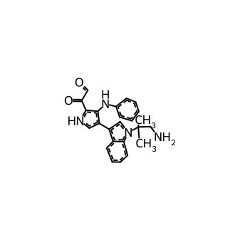 CC(C)(CN)n1cc(-c2c[nH]c(C(=O)C=O)c2Nc2ccccc2)c2ccccc21